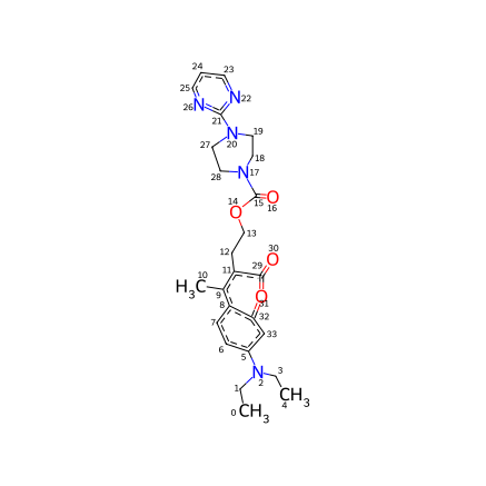 CCN(CC)c1ccc2c(C)c(CCOC(=O)N3CCN(c4ncccn4)CC3)c(=O)oc2c1